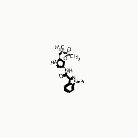 CC(C)n1nc(C(=O)N[C@@H]2CN[C@H](CN(C)S(C)(=O)=O)C2)c2ccccc21